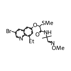 CCc1cc(OC(SC)C(=O)NC(C)(C)/C=N/OC)cc2cc(Br)cnc12